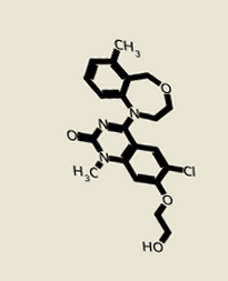 Cc1cccc2c1COCCN2c1nc(=O)n(C)c2cc(OCCO)c(Cl)cc12